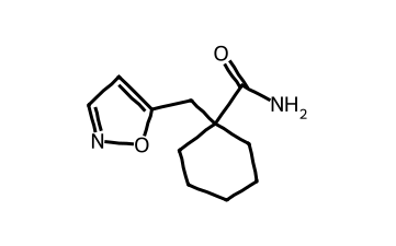 NC(=O)C1(Cc2ccno2)CCCCC1